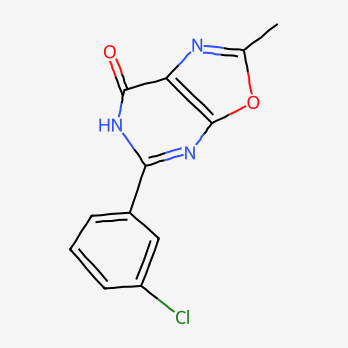 Cc1nc2c(=O)[nH]c(-c3cccc(Cl)c3)nc2o1